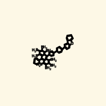 Bc1c(B)c(B)c2c(-c3ccc(-c4ccc(-c5ccc6oc7ccccc7c6c5)cc4)cc3)c3c(B)c(B)c(B)c(B)c3c(-c3ccccc3)c2c1B